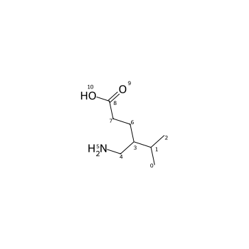 CC(C)C(CN)CCC(=O)O